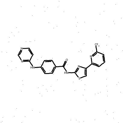 O=C(Nc1nc(-c2cccc(C(F)(F)F)n2)cs1)c1ccc(Nc2ccncn2)cc1